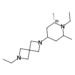 CCN1CC2(C1)CN(C1CC(C)N(CC)[C@@H](C)C1)C2